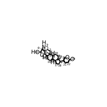 C[C@]12CC[C@H]([C@](C)(N)C(=O)O)C[C@H]1CC[C@H]1C3=CC[C@H](c4ccc(=O)oc4)[C@@]3(C)CC[C@@H]12